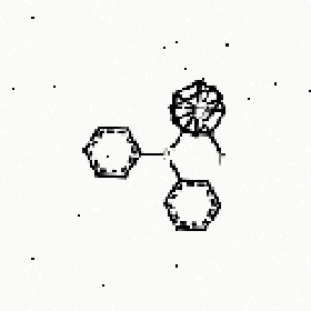 F[C]12[CH]3[CH]4[CH]5[C]1(P(c1ccccc1)c1ccccc1)[Fe]43521678[CH]2[CH]1[CH]6[CH]7[CH]28